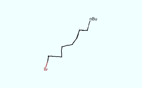 CCCCC[CH]CCCCBr